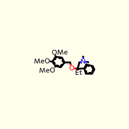 CCC(CN(C)C)(OCc1cc(OC)c(OC)c(OC)c1)c1ccccc1